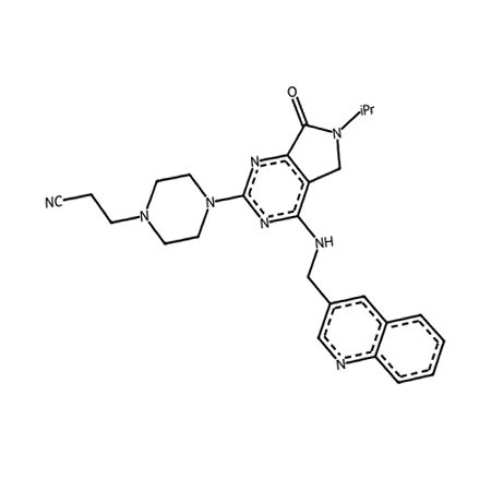 CC(C)N1Cc2c(NCc3cnc4ccccc4c3)nc(N3CCN(CCC#N)CC3)nc2C1=O